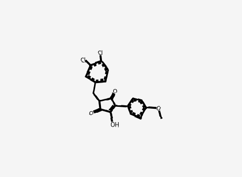 COc1ccc(C2=C(O)C(=O)C(Cc3ccc(Cl)c(Cl)c3)C2=O)cc1